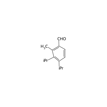 Cc1c(C=O)ccc(C(C)C)c1C(C)C